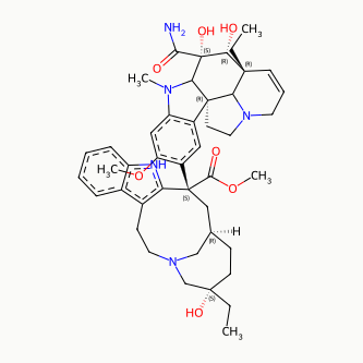 CC[C@]1(O)CC[C@H]2CN(CCc3c([nH]c4ccccc34)[C@@](C(=O)OC)(c3cc4c(cc3OC)N(C)C3[C@]45CCN4CC=C[C@](CC)(C45)[C@@H](O)[C@]3(O)C(N)=O)C2)C1